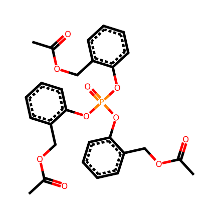 CC(=O)OCc1ccccc1OP(=O)(Oc1ccccc1COC(C)=O)Oc1ccccc1COC(C)=O